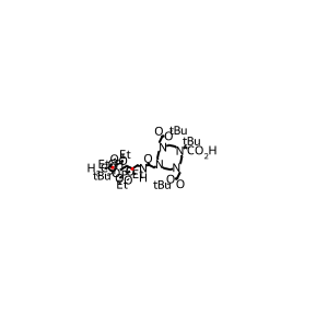 CCOP(=O)(OCC)C(CCCNC(=O)CN1CCN(CC(=O)OC(C)(C)C)CCN(C(C(=O)O)C(C)(C)C)CCN(CC(=O)OC(C)(C)C)CC1)(O[Si](C)(C)C(C)(C)C)P(=O)(OCC)OCC